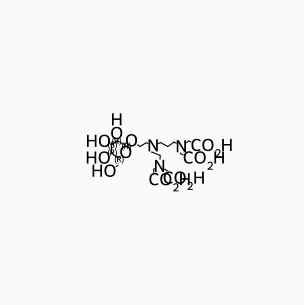 O=C(O)CN(CCCN(CCO[C@@H]1O[C@H](CO)[C@H](O)[C@H](O)[C@H]1O)CCN(CC(=O)O)CC(=O)O)CC(=O)O